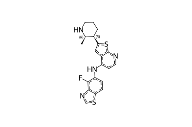 C[C@H]1NCCC[C@H]1c1cc2c(Nc3ccc4scnc4c3F)ccnc2s1